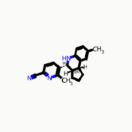 Cc1ccc2c(c1)[C@@H]1CCC[C@@H]1[C@H](c1ccc(C#N)nc1C)N2